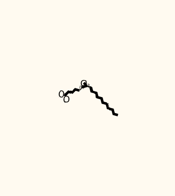 CCCCCCCCCCC[C@@H]1O[C@H]1CCCCC(=O)OC